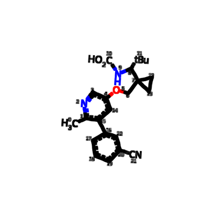 Cc1ncc(OCC2(C(NC(=O)O)C(C)(C)C)CC2)cc1-c1cccc(C#N)c1